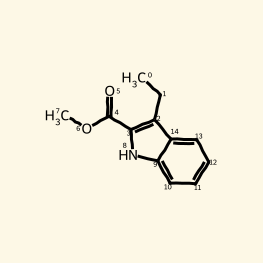 CCc1c(C(=O)OC)[nH]c2ccccc12